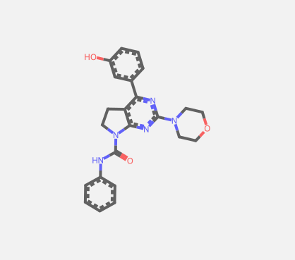 O=C(Nc1ccccc1)N1CCc2c(-c3cccc(O)c3)nc(N3CCOCC3)nc21